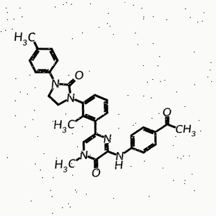 CC(=O)c1ccc(Nc2nc(-c3cccc(N4CCN(c5ccc(C)cc5)C4=O)c3C)cn(C)c2=O)cc1